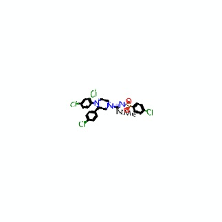 CN/C(=N\S(=O)(=O)c1ccc(Cl)cc1)N1CCN(c2ccc(Cl)cc2Cl)C(c2ccc(Cl)cc2)C1